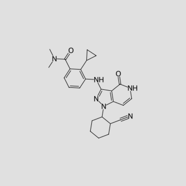 CN(C)C(=O)c1cccc(Nc2nn(C3CCCCC3C#N)c3cc[nH]c(=O)c23)c1C1CC1